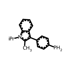 Cc1c(-c2ccc(P)cc2)c2ccccc2n1C(C)C